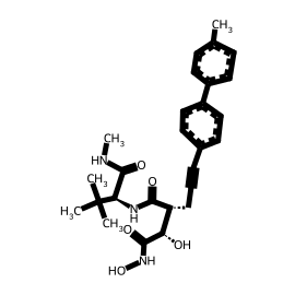 CNC(=O)[C@@H](NC(=O)[C@H](CC#Cc1ccc(-c2ccc(C)cc2)cc1)[C@H](O)C(=O)NO)C(C)(C)C